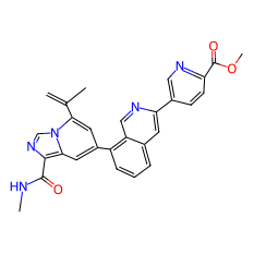 C=C(C)c1cc(-c2cccc3cc(-c4ccc(C(=O)OC)nc4)ncc23)cc2c(C(=O)NC)ncn12